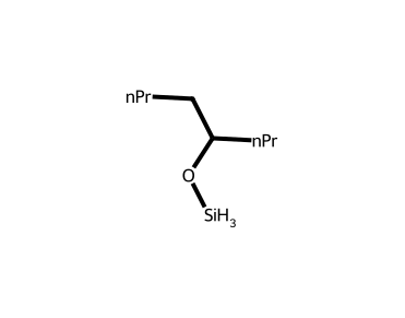 CCCCC(CCC)O[SiH3]